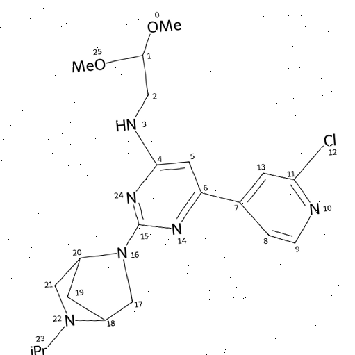 COC(CNc1cc(-c2ccnc(Cl)c2)nc(N2CC3CC2CN3C(C)C)n1)OC